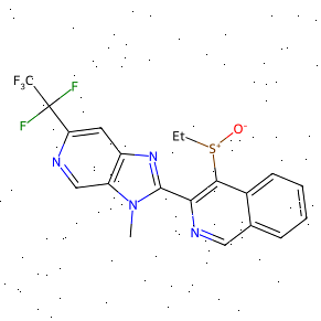 CC[S+]([O-])c1c(-c2nc3cc(C(F)(F)C(F)(F)F)ncc3n2C)ncc2ccccc12